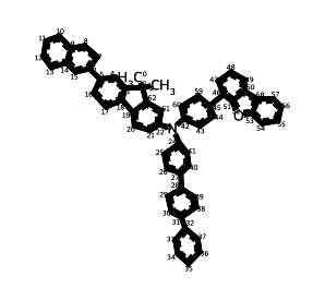 CC1(C)c2cc(-c3ccc4ccccc4c3)ccc2-c2ccc(N(c3ccc(-c4ccc(-c5ccccc5)cc4)cc3)c3ccc(-c4cccc5c4oc4ccccc45)cc3)cc21